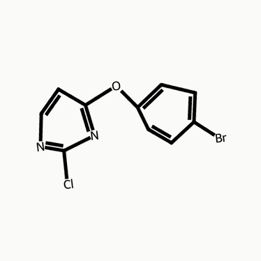 Clc1nccc(Oc2ccc(Br)cc2)n1